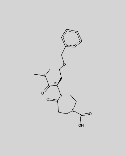 CN(C)C(=O)[C@@H](CCOCc1ccccc1)N1CCN(C(=O)O)CCC1=O